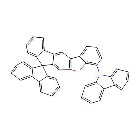 c1ccc2c(c1)-c1ccccc1C21c2ccccc2-c2cc3c(cc21)oc1c(-n2c4ccccc4c4ccccc42)cccc13